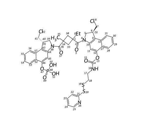 CCC1(C(=O)N2C[C@@H](CCl)c3c2cc(OC(=O)NCCSSc2ccccn2)c2ccccc32)CC(C)(C(=O)N2C[C@@H](CCl)c3c2cc(OP(=O)(O)O)c2ccccc32)C1